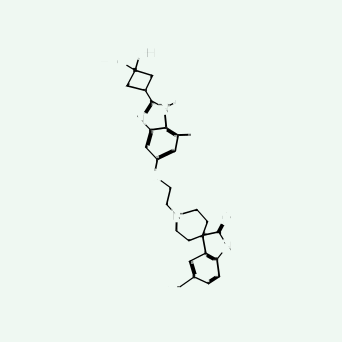 Cn1c(C2CC(C)(O)C2)nc2cc(OCCN3CCC4(CC3)C(=O)Nc3ccc(Cl)cc34)cc(F)c21